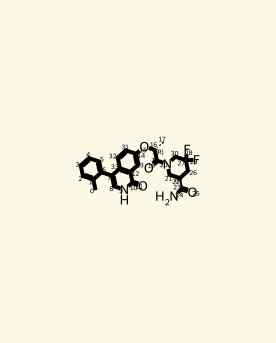 Cc1ccccc1-c1c[nH]c(=O)c2cc(O[C@H](C)C(=O)N3C[C@H](C(N)=O)CC(F)(F)C3)ccc12